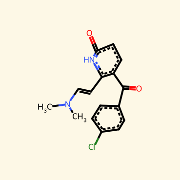 CN(C)C=Cc1[nH]c(=O)ccc1C(=O)c1ccc(Cl)cc1